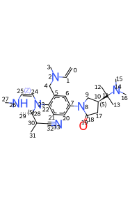 C=CN(C)Cc1cc(N2C[C@@H](C(C)(C)N(C)C)CC2=O)ccc1N(/C=C\NC)[C@@H](C)C(C)C#N